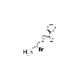 NCC(Br)CCOC(=O)c1ccccc1